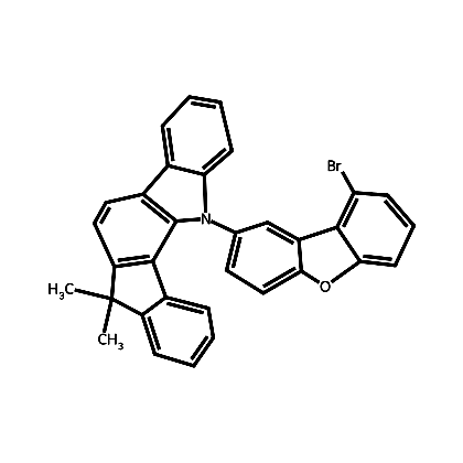 CC1(C)c2ccccc2-c2c1ccc1c3ccccc3n(-c3ccc4oc5cccc(Br)c5c4c3)c21